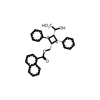 O=C(OC[C@H]1[C@@H](c2ccccc2)[C@@H](C(O)C(=O)O)[C@@H]1c1ccccc1)c1cccc2ccccc12